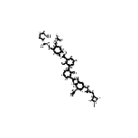 Cc1c(-c2nc3cc(COC(=O)[C@@H]4CCCN4)c(OC(F)F)cc3o2)cccc1-c1cccc(-c2nc3cc(CNCC4CNC4)cc(C#N)c3o2)c1C